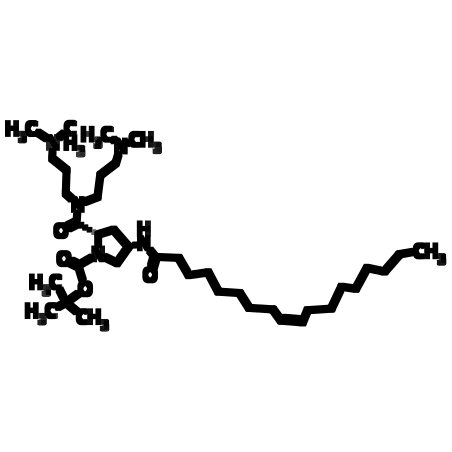 CCCCCCCC/C=C\CCCCCCCC(=O)N[C@H]1C[C@@H](C(=O)N(CCCN(C)C)CCCN(C)C)N(C(=O)OC(C)(C)C)C1